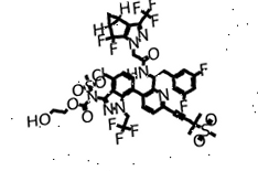 CC(C)(C#Cc1ccc(-c2ccc(Cl)c3c(N(C(=O)OCCO)S(C)(=O)=O)nn(CC(F)(F)F)c23)c([C@H](Cc2cc(F)cc(F)c2)NC(=O)Cn2nc(C(F)(F)F)c3c2C(F)(F)[C@@H]2C[C@H]32)n1)S(C)(=O)=O